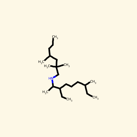 CCCC(C)CC(C)(C)CNC(C)C(CC)CCCC(C)CC